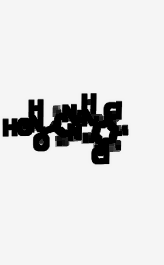 O=C(NO)c1cnc(Nc2cc(Cl)ccc2Cl)nc1